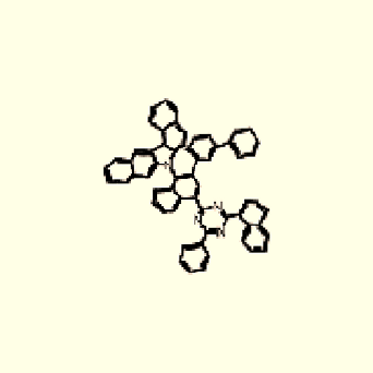 c1ccc(-c2cccc(-c3cc(-c4nc(-c5ccccc5)nc(-c5cccc6ccccc56)n4)c4ccccc4c3-n3c4cc5ccccc5cc4c4c5ccccc5ccc43)c2)cc1